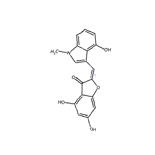 Cn1cc(/C=C2/Oc3cc(O)cc(O)c3C2=O)c2c(O)cccc21